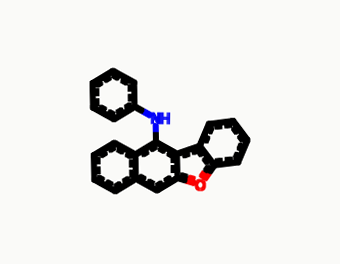 c1ccc(Nc2c3ccccc3cc3oc4ccccc4c23)cc1